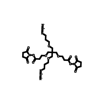 [N-]=[N+]=NCCCOCC(COCCCN=[N+]=[N-])(COCCC(=O)ON1C(=O)CCC1=O)COCCC(=O)ON1C(=O)CCC1=O